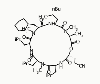 CCCC[C@@H](C)C[C@@H]1NC(=O)[C@H](CC2CCCCC2)N(C)C(=O)[C@H](CC(C)C)NC(=O)[C@H](CC(C)C)N(C)C(=O)[C@H](CC(C)C)NC(=O)[C@@H](CCC#N)OC(=O)[C@H](C)N(C)C1=O